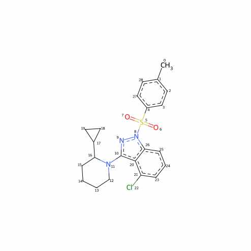 Cc1ccc(S(=O)(=O)n2nc(N3CCCCC3C3CC3)c3c(Cl)cccc32)cc1